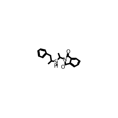 CC(Cc1ccccc1)[SiH](C)C(C)N1C(=O)c2ccccc2C1=O